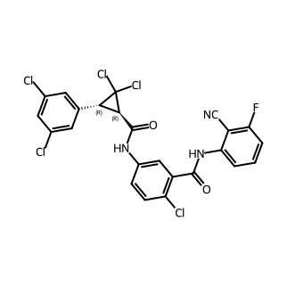 N#Cc1c(F)cccc1NC(=O)c1cc(NC(=O)[C@H]2[C@H](c3cc(Cl)cc(Cl)c3)C2(Cl)Cl)ccc1Cl